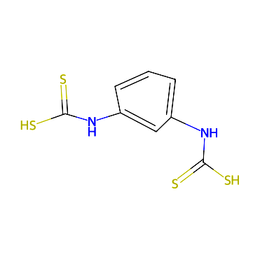 S=C(S)Nc1cccc(NC(=S)S)c1